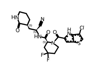 N#C[C@H](C[C@@H]1CCCNC1=O)NC(=O)[C@@H]1CC(F)(F)CCN1C(=O)c1cc2scc(Cl)c2[nH]1